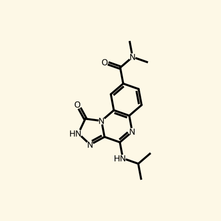 CC(C)Nc1nc2ccc(C(=O)N(C)C)cc2n2c(=O)[nH]nc12